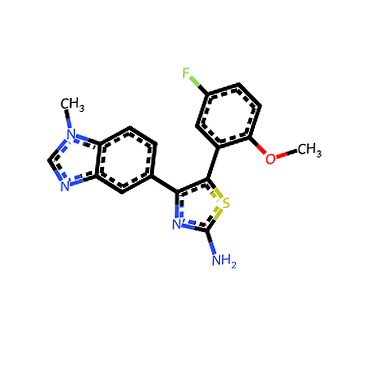 COc1ccc(F)cc1-c1sc(N)nc1-c1ccc2c(c1)ncn2C